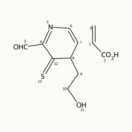 C=CC(=O)O.O=CC1=NC=CC(CCO)C1=S